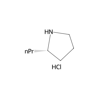 CCC[C@H]1CCCN1.Cl